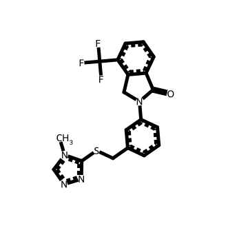 Cn1cnnc1SCc1cccc(N2Cc3c(cccc3C(F)(F)F)C2=O)c1